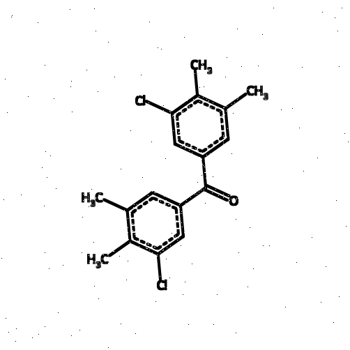 Cc1cc(C(=O)c2cc(C)c(C)c(Cl)c2)cc(Cl)c1C